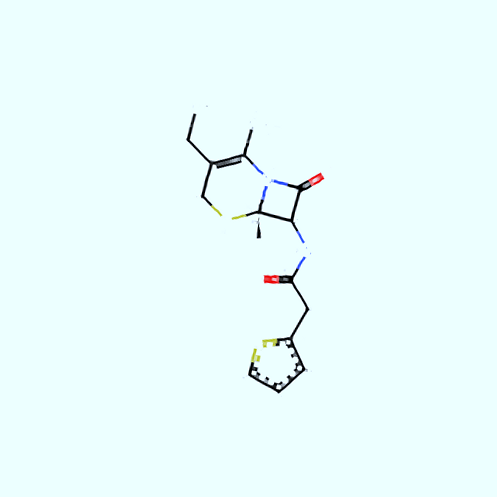 CC(=O)OCC1=C(C(=O)O)N2C(=O)C(NC(=O)Cc3cccs3)[C@@H]2SC1